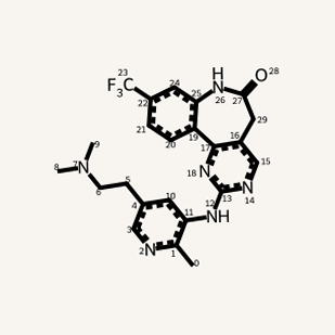 Cc1ncc(CCN(C)C)cc1Nc1ncc2c(n1)-c1ccc(C(F)(F)F)cc1NC(=O)C2